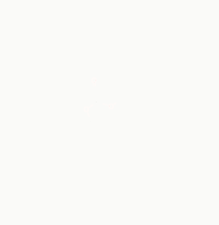 O=C=C(Oc1ccccc1)Oc1ccccc1